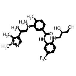 Cc1ccc(C(=O)Nc2cc(C(F)(F)F)ccc2NC[C@@H](O)CO)cc1N(N)/C=C(\N)c1cnn(C)c1C